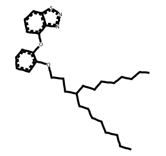 CCCCCCCCC(CCCCCCCC)CCCOc1ccccc1Oc1cccc2snnc12